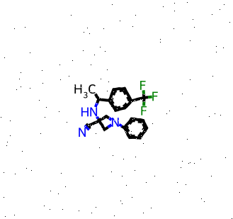 CC(NC1(C#N)CN(c2ccccc2)C1)c1ccc(C(F)(F)F)cc1